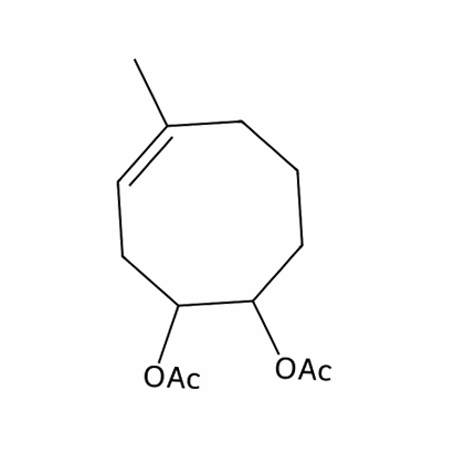 CC(=O)OC1CC=C(C)CCCC1OC(C)=O